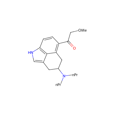 CCCN(CCC)C1Cc2c[nH]c3ccc(C(=O)COC)c(c23)C1